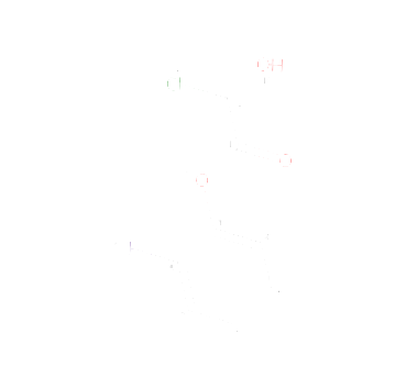 O=C(Oc1ccccc1I)C(O)Cl